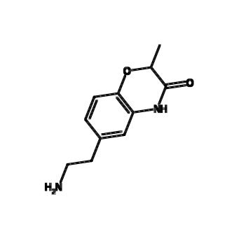 CC1Oc2ccc(CCN)cc2NC1=O